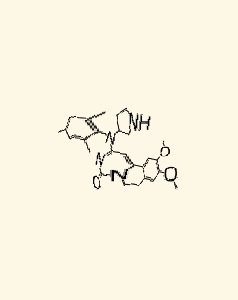 COc1cc2c(cc1OC)-c1cc(N(c3c(C)cc(C)cc3C)C3CCNC3)nc(=O)n1CC2